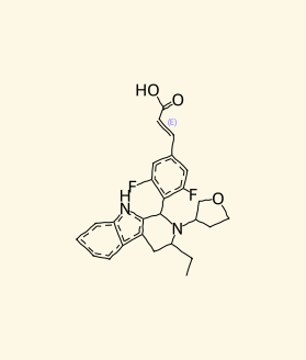 CCC1Cc2c([nH]c3ccccc23)C(c2c(F)cc(/C=C/C(=O)O)cc2F)N1C1CCOC1